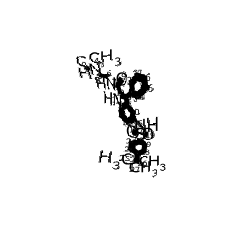 CCN(CC)CCNC(=O)c1[nH]c2ccc(NS(=O)(=O)c3ccc(C(C)(C)C)cc3)cc2c1-c1ccccc1